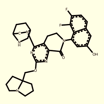 O=C1c2nc(OCC34CCCN3CCC4)nc(N3CC4CCC3CN4)c2CCN1c1cc(O)cc2ccc(F)c(F)c12